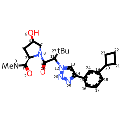 CNC(=O)[C@H]1CC(O)CN1C(=O)C(n1cc(-c2cccc(C3CCC3)c2)nn1)C(C)(C)C